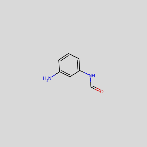 Nc1cccc(NC=O)c1